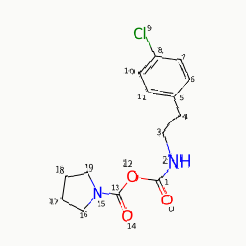 O=C(NCCc1ccc(Cl)cc1)OC(=O)N1CCCC1